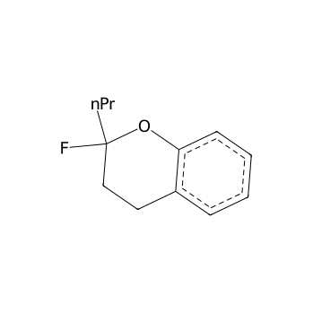 CCCC1(F)CCc2ccccc2O1